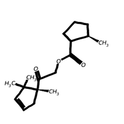 C[C@@H]1CCCC1C(=O)OCC(=O)[C@]1(C)CC=CC1(C)C